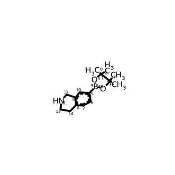 CC1(C)OB(c2ccc3c(c2)CNCC3)OC1(C)C